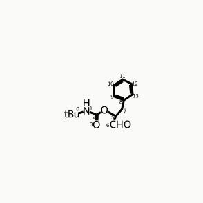 CC(C)(C)NC(=O)OC(C=O)Cc1ccccc1